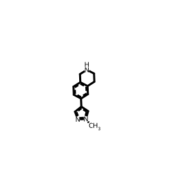 Cn1cc(-c2ccc3c(c2)CCNC3)cn1